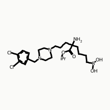 CC(C)OC(=O)C(N)(CCCCB(O)O)CCCN1CCN(Cc2ccc(Cl)c(Cl)c2)CC1